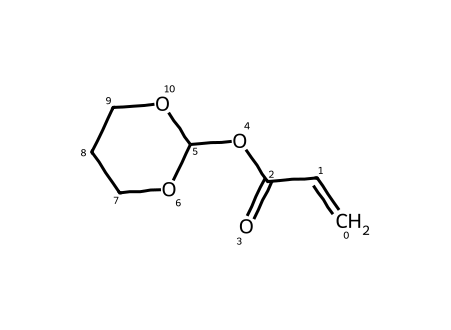 C=CC(=O)OC1OCCCO1